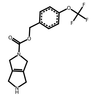 O=C(OCc1ccc(OC(F)(F)F)cc1)N1CC2=C(CNC2)C1